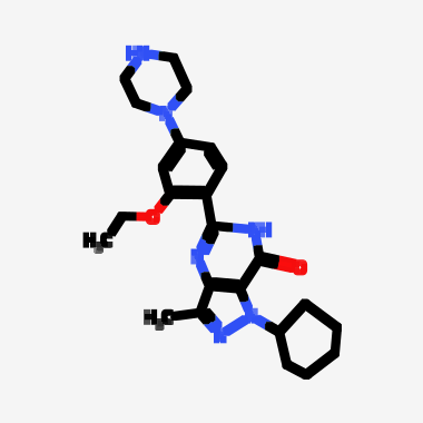 CCOc1cc(N2CCNCC2)ccc1-c1nc2c(C)nn(C3CCCCC3)c2c(=O)[nH]1